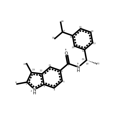 Cc1[nH]c2ccc(C(=O)N[C@@H](C)c3cccc(C(C)C)c3)cc2c1C